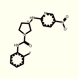 O=C(Nc1ccccc1F)N1CC[C@@H](Nc2ccc([N+](=O)[O-])cn2)C1